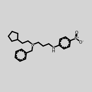 O=[N+]([O-])c1ccc(NCCCN(CCC2CCCC2)Cc2ccccc2)cc1